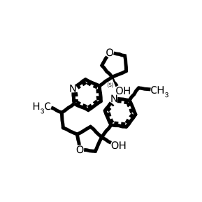 CCc1ccc(C2(O)COC(CC(C)c3ccc([C@@]4(O)CCOC4)cn3)C2)cn1